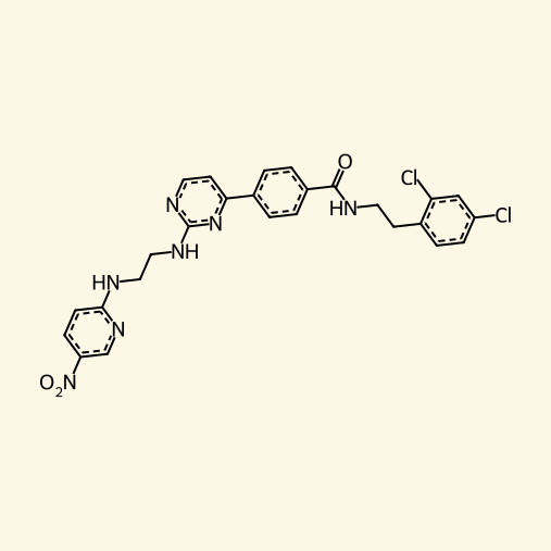 O=C(NCCc1ccc(Cl)cc1Cl)c1ccc(-c2ccnc(NCCNc3ccc([N+](=O)[O-])cn3)n2)cc1